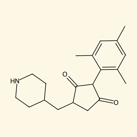 Cc1cc(C)c(C2C(=O)CC(CC3CCNCC3)C2=O)c(C)c1